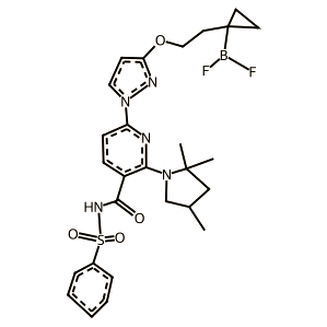 CC1CN(c2nc(-n3ccc(OCCC4(B(F)F)CC4)n3)ccc2C(=O)NS(=O)(=O)c2ccccc2)C(C)(C)C1